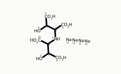 O=C(O)C(O)C(NC(C(=O)O)C(O)C(=O)O)C(=O)O.[Na].[Na].[Na].[Na]